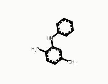 Cc1ccc(P)c(Nc2ccccc2)c1